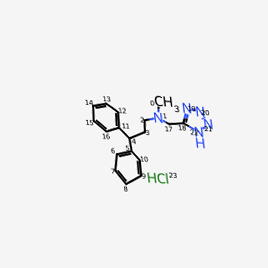 CN(CCC(c1ccccc1)c1ccccc1)Cc1nnn[nH]1.Cl